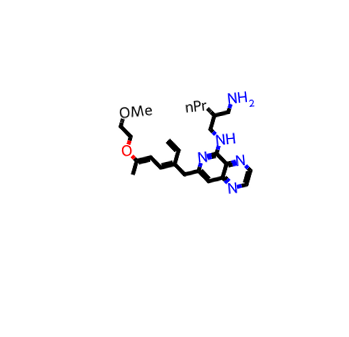 C=C/C(=C\C=C(/C)OCCOC)Cc1cc2nccnc2c(NCC(CN)CCC)n1